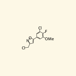 COc1cc(-c2cc(CCl)no2)cc(Cl)c1F